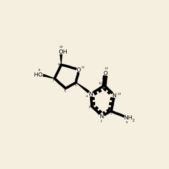 Nc1ncn([C@H]2C[C@@H](O)[C@@H](O)O2)c(=O)n1